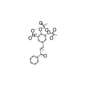 CS(=O)(=O)Oc1cc(/C=C/C(=O)c2ccccc2)cc([N+](=O)[O-])c1OS(C)(=O)=O